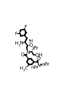 CCCN(CCC)C(=O)c1cc(C)cc(C(=O)N(C[C@@H](O)[C@@H](N)Cc2cc(F)cc(F)c2)[C@@H](CO)C(C)C)c1